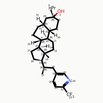 CCC[C@@]1(O)CC[C@H]2[C@H](CC[C@@H]3[C@@H]2CC[C@]2(C)[C@@H]([C@H](C)Cc4ccc(C(F)(F)F)nc4)CC[C@@H]32)C1